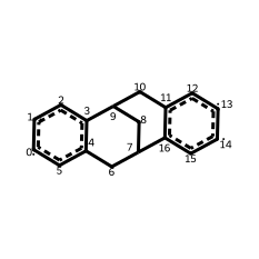 [c]1[c]cc2c(c1)CC1CC2Cc2c[c][c]cc21